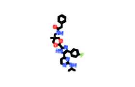 CC(C)Nc1nccc(-c2[nH]c(C3OCC(C)(CNC(=O)Cc4ccccc4)CO3)nc2-c2ccc(F)cc2)n1